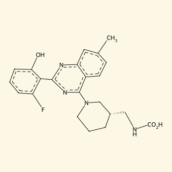 Cc1ccc2c(N3CCC[C@@H](CNC(=O)O)C3)nc(-c3c(O)cccc3F)nc2c1